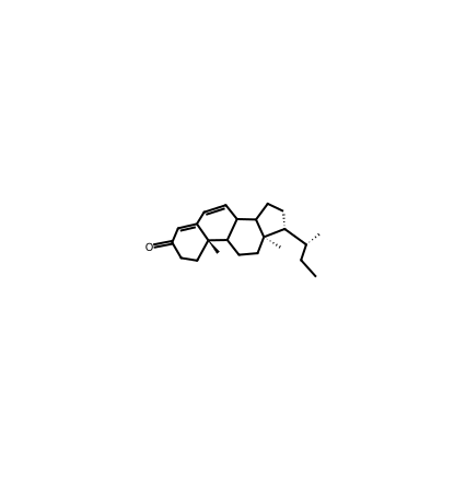 CC[C@@H](C)[C@H]1CCC2C3C=CC4=CC(=O)CC[C@@]4(C)C3CC[C@@]21C